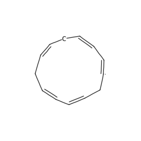 [C]1=CC=CCC=CCC=CC=CC1